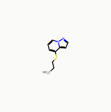 O=C(O)CCSc1cccn2nccc12